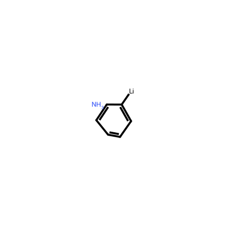 N.[Li][c]1ccccc1